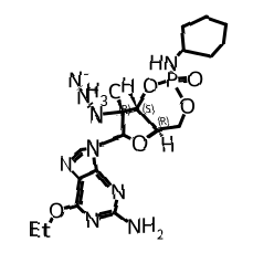 CCOc1nc(N)nc2c1ncn2C1O[C@@H]2COP(=O)(NC3CCCCC3)O[C@H]2[C@@]1(C)N=[N+]=[N-]